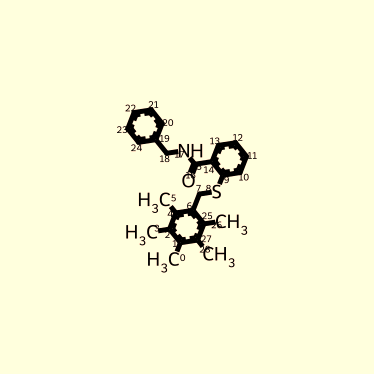 Cc1c(C)c(C)c(CSc2ccccc2C(=O)NCc2ccccc2)c(C)c1C